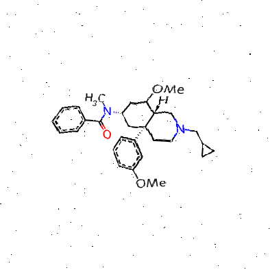 COc1cccc([C@@]23CCN(CC4CC4)C[C@H]2C(OC)C[C@@H](N(C)C(=O)c2ccccc2)C3)c1